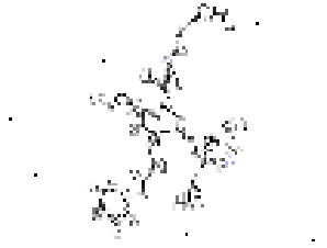 CCO/C=C/C(=O)N1C[C@H](C)N(CCCc2ccccc2)C[C@H]1C.O=C(O)/C=C\C(=O)O